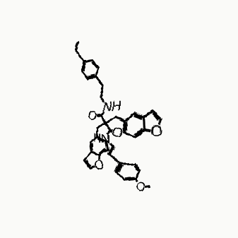 CCc1ccc(CCNC(=O)C(Cc2ccc3occc3c2)(Cc2ccc3occc3c2)C(=O)NCCc2ccc(OC)cc2)cc1